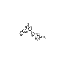 CN(C)CC(=O)Nc1cncc(-c2cnc3[nH]nc(-c4cc5ccncc5[nH]4)c3c2)c1